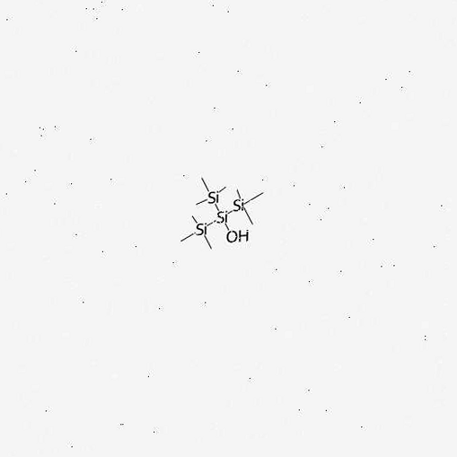 C[Si](C)(C)[Si](O)([Si](C)(C)C)[Si](C)(C)C